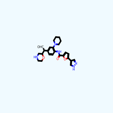 O=CC(c1ccc(NC(=O)c2ccc(-c3cn[nH]c3)o2)c(N2CCCCC2)c1)C1CNCCO1